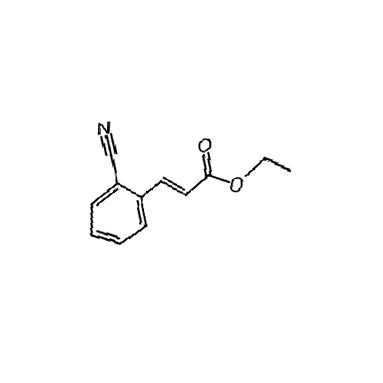 CCOC(=O)C=Cc1ccccc1C#N